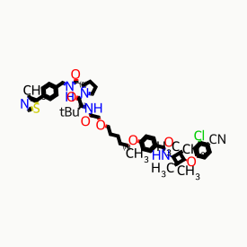 Cc1ncsc1-c1ccc(CNC(=O)[C@@H]2CCCN2C(=O)[C@@H](NC(=O)COCCCC[C@@H](C)Oc2ccc(C(=O)N[C@H]3C(C)(C)[C@H](Oc4ccc(C#N)c(Cl)c4)C3(C)C)cc2)C(C)(C)C)cc1